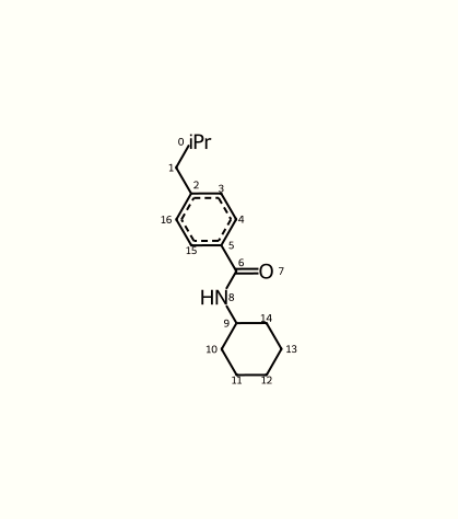 CC(C)Cc1ccc(C(=O)NC2CCCCC2)cc1